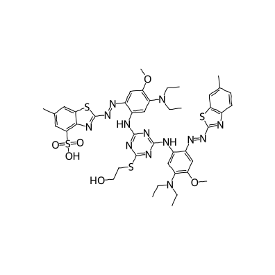 CCN(CC)c1cc(Nc2nc(Nc3cc(N(CC)CC)c(OC)cc3/N=N/c3nc4c(S(=O)(=O)O)cc(C)cc4s3)nc(SCCO)n2)c(/N=N/c2nc3ccc(C)cc3s2)cc1OC